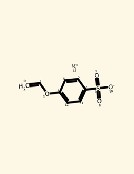 C=COc1ccc(S(=O)(=O)[O-])cc1.[K+]